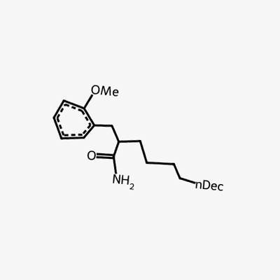 CCCCCCCCCCCCCCC(Cc1ccccc1OC)C(N)=O